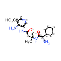 CC(C)(CC(=O)Nc1cncc(C(=O)O)c1N)NC(=O)[C@@H](N)C1CCCCC1